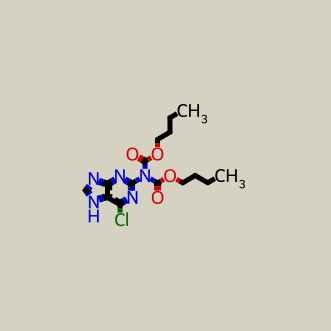 CCCCOC(=O)N(C(=O)OCCCC)c1nc(Cl)c2[nH]cnc2n1